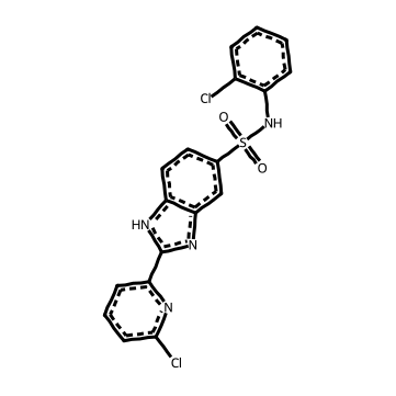 O=S(=O)(Nc1ccccc1Cl)c1ccc2[nH]c(-c3cccc(Cl)n3)nc2c1